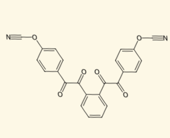 N#COc1ccc(C(=O)C(=O)c2ccccc2C(=O)C(=O)c2ccc(OC#N)cc2)cc1